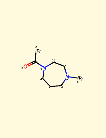 CC(C)C(=O)N1CCCN(C(C)C)CC1